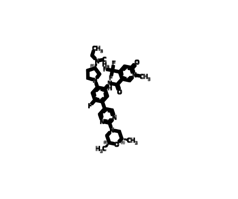 CCN(C)[C@H]1CCN(c2cc(F)c(-c3cnc(N4C[C@@H](C)O[C@@H](C)C4)nc3)cc2NC(=O)c2cn(C)c(=O)cc2C(F)(F)F)C1